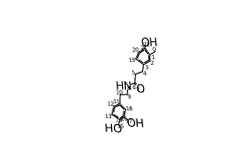 Cc1cc(CCC(=O)NCCc2ccc(O)c(O)c2)ccc1O